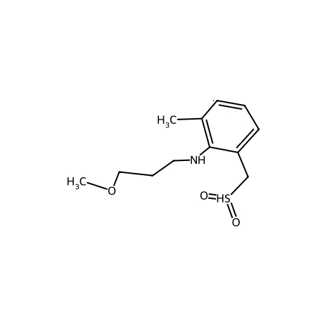 COCCCNc1c(C)[c]ccc1C[SH](=O)=O